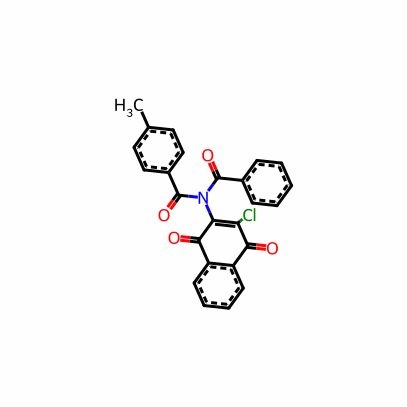 Cc1ccc(C(=O)N(C(=O)c2ccccc2)C2=C(Cl)C(=O)c3ccccc3C2=O)cc1